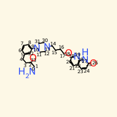 NCC1CCc2cccc(N3CCN(CCCCOc4ccc5ccc(=O)[nH]c5n4)CC3)c2O1